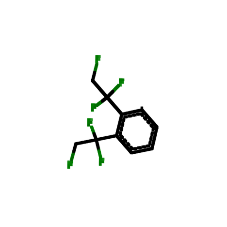 FCC(F)(F)c1[c]cccc1C(F)(F)CF